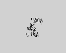 C=CCC(NC(=O)O)c1cc(-c2c([N+](=O)[O-])cnn2COCC[Si](C)(C)C)ccn1